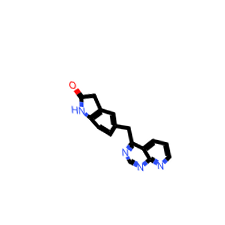 O=C1Cc2cc(Cc3ncnc4ncccc34)ccc2N1